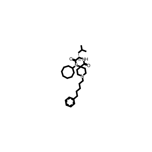 CC(C)C[C@@H]1NC(=O)C2(CCN(CCCCCc3ccccc3)CC2)N(C2CCCCCCC2)C1=O